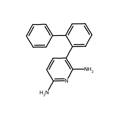 Nc1ccc(-c2ccccc2-c2ccccc2)c(N)n1